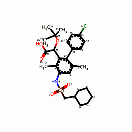 Cc1cc(NS(=O)(=O)CC2CCCCC2)c(C)c(C(OC(C)(C)C)C(=O)O)c1-c1ccc(Cl)cc1